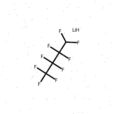 FC(F)C(F)(F)C(F)(F)C(F)(F)F.[LiH]